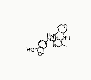 Cc1cnc(Nc2ccc3c(c2)COB3O)nc1N[C@H]1COCC[C@@H]1C#N